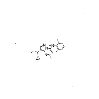 CCC(c1cnn2c(Nc3c(C)cc(C)cc3C)nc(C)nc12)C1CC1